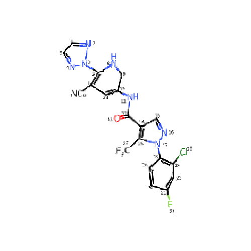 N#CC1=C(n2nccn2)NCC(NC(=O)c2cnn(-c3ccc(F)cc3Cl)c2C(F)(F)F)=C1